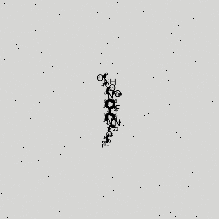 CC(=O)NC[C@H]1CN(c2ccc(-c3ccn4c(COCCF)cnc4c3)c(F)c2)C(=O)O1